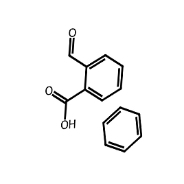 O=Cc1ccccc1C(=O)O.c1ccccc1